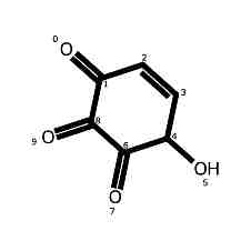 O=C1C=CC(O)C(=O)C1=O